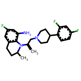 C=C(CN1CCC(c2ccc(F)cc2F)CC1)N1c2c(N)cc(F)cc2CCC1C